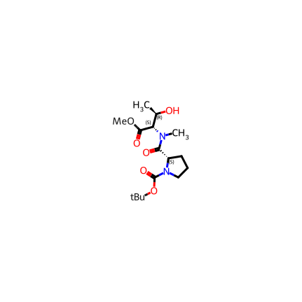 COC(=O)[C@H]([C@@H](C)O)N(C)C(=O)[C@@H]1CCCN1C(=O)OC(C)(C)C